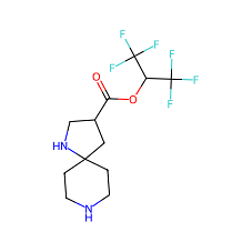 O=C(OC(C(F)(F)F)C(F)(F)F)C1CNC2(CCNCC2)C1